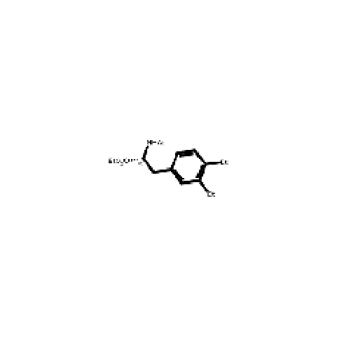 CCOC(=O)[C@@H](Cc1ccc(CC)c(CC)c1)NC(C)=O